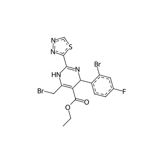 CCOC(=O)C1=C(CBr)NC(c2nncs2)=NC1c1ccc(F)cc1Br